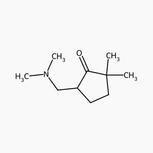 CN(C)CC1CCC(C)(C)C1=O